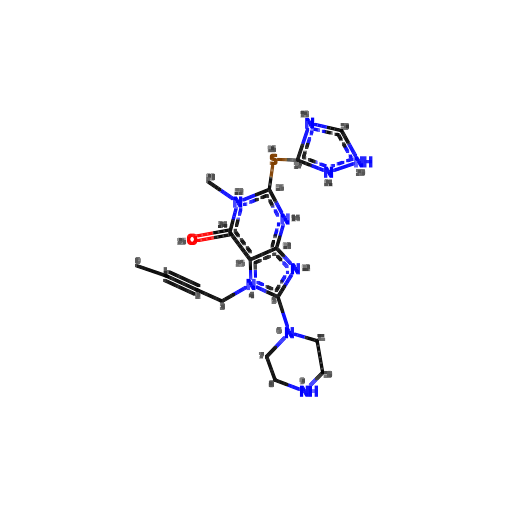 CC#CCn1c(N2CCNCC2)nc2nc(Sc3nc[nH]n3)n(C)c(=O)c21